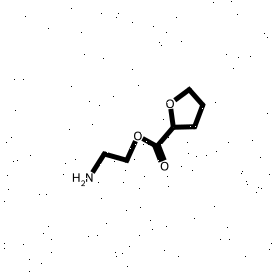 NCCOC(=O)C1CCCO1